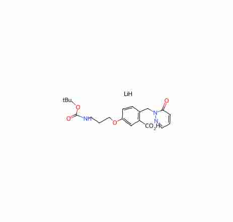 CC(C)(C)OC(=O)NCCCOc1ccc(Cn2ncccc2=O)c(C(=O)O)c1.[LiH]